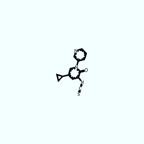 O=c1c(N=C=S)cc(C2CC2)cn1-c1cccnc1